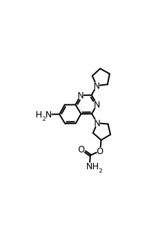 NC(=O)OC1CCN(c2nc(N3CCCC3)nc3cc(N)ccc23)C1